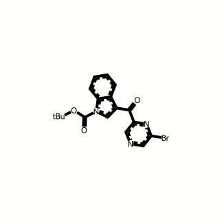 CC(C)(C)OC(=O)n1cc(C(=O)c2cncc(Br)n2)c2ccccc21